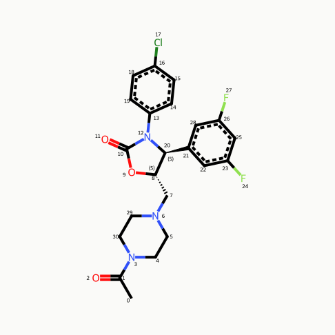 CC(=O)N1CCN(C[C@@H]2OC(=O)N(c3ccc(Cl)cc3)[C@H]2c2cc(F)cc(F)c2)CC1